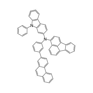 C1=C=Cc2c(c3ccc(N(c4cccc(-c5ccc6c(ccc7ccccc76)c5)c4)c4ccc5c6c(cccc46)-c4ccccc4-5)cc3n2-c2ccccc2)C=1